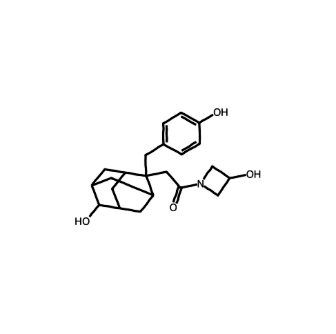 O=C(CC1(Cc2ccc(O)cc2)C2CC3CC1CC(C2)C3O)N1CC(O)C1